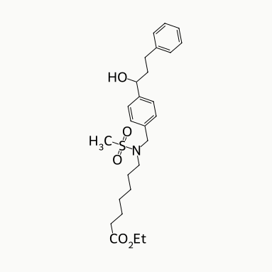 CCOC(=O)CCCCCCN(Cc1ccc(C(O)CCc2ccccc2)cc1)S(C)(=O)=O